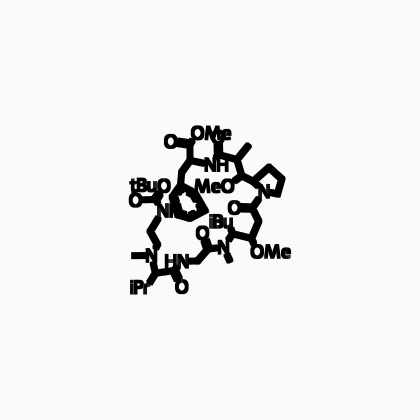 CCC(C)C(C(CC(=O)N1CCCC1C(OC)C(C)C(=O)NC(Cc1ccccc1)C(=O)OC)OC)N(C)C(=O)CNC(=O)C(C(C)C)N(C)CCNC(=O)OC(C)(C)C